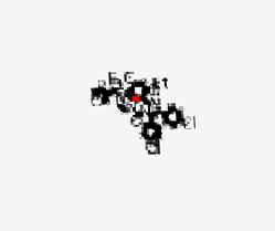 CCOc1cc(C(F)(F)F)ccc1C1=NC(c2ccc(Cl)cc2)C(c2ccc(Cl)cc2)N1C(=O)N1CCN(C(=O)c2ccoc2)CC1